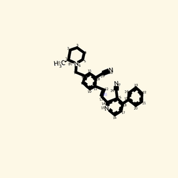 C[C@@H]1CCCCN1Cc1ccc(/C=C/c2nccc(-c3ccccc3)c2C#N)c(C#N)c1